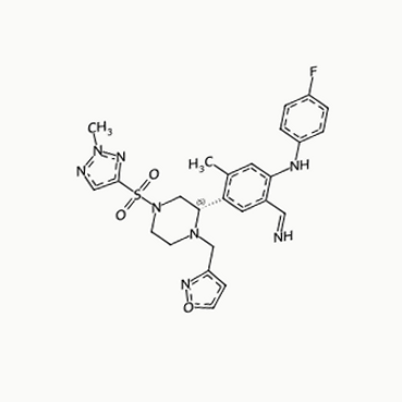 Cc1cc(Nc2ccc(F)cc2)c(C=N)cc1[C@H]1CN(S(=O)(=O)c2cnn(C)n2)CCN1Cc1ccon1